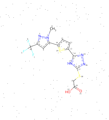 Cn1nc(C(F)(F)F)cc1-c1ccc(-c2nnc(SCC(=O)O)[nH]2)s1